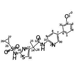 COc1cccc(-c2ccc(NC(=O)C(C)(C)c3csc(NS(=O)(=O)C4CC4)n3)nc2)c1